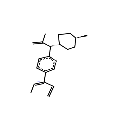 C=C/C(=C\C)c1ccc(C(C(=C)C)[C@H]2CC[C@H](C)CC2)nc1